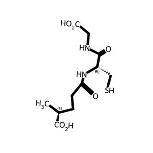 C[C@@H](CCC(=O)N[C@@H](CS)C(=O)NCC(=O)O)C(=O)O